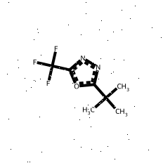 CC(C)(C)c1nnc(C(F)(F)F)o1